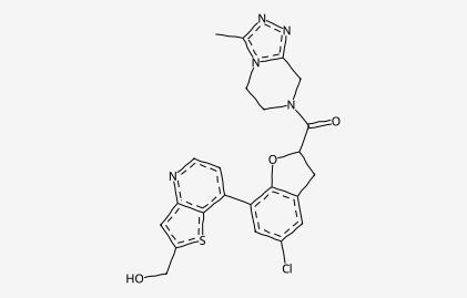 Cc1nnc2n1CCN(C(=O)C1Cc3cc(Cl)cc(-c4ccnc5cc(CO)sc45)c3O1)C2